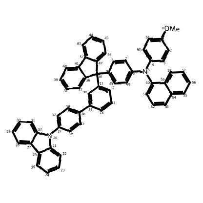 COc1ccc(N(c2ccc(C3(c4cccc(-c5ccc(-n6c7ccccc7c7ccccc76)cc5)c4)c4ccccc4-c4ccccc43)cc2)c2cccc3ccccc23)cc1